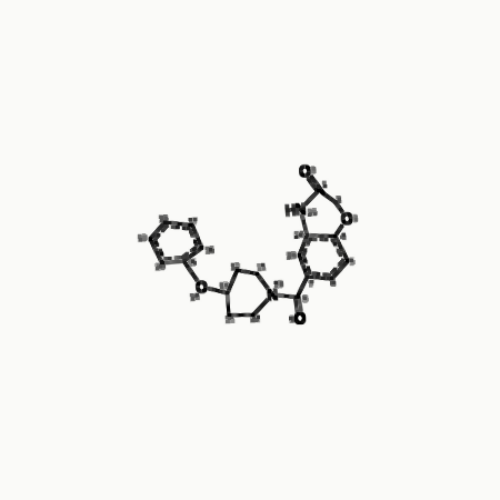 O=C1COc2ccc(C(=O)N3CCC(Oc4ccccc4)CC3)cc2N1